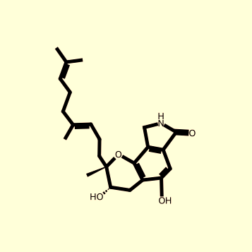 CC(C)=CCC/C(C)=C/CC[C@]1(C)Oc2c(c(O)cc3c2CNC3=O)C[C@@H]1O